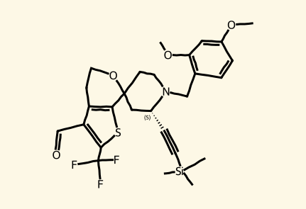 COc1ccc(CN2CCC3(C[C@H]2C#C[Si](C)(C)C)OCCc2c3sc(C(F)(F)F)c2C=O)c(OC)c1